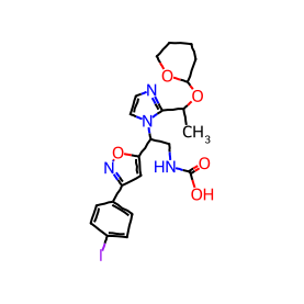 CC(OC1CCCCO1)c1nccn1C(CNC(=O)O)c1cc(-c2ccc(I)cc2)no1